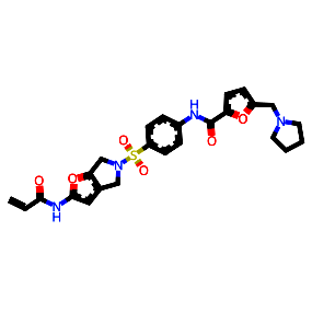 C=CC(=O)Nc1cc2c(o1)CN(S(=O)(=O)c1ccc(NC(=O)c3ccc(CN4CCCC4)o3)cc1)C2